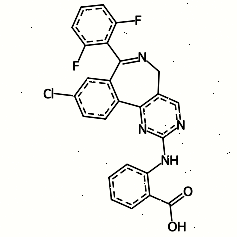 O=C(O)c1ccccc1Nc1ncc2c(n1)-c1ccc(Cl)cc1C(c1c(F)cccc1F)=NC2